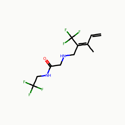 C=C/C(C)=C(/CNCC(=O)NCC(F)(F)F)C(F)(F)F